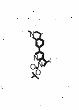 CN1CCc2ccc(-c3cnc4c(c3)c(I)cn4C(=O)OC(C)(C)C)cc2C1